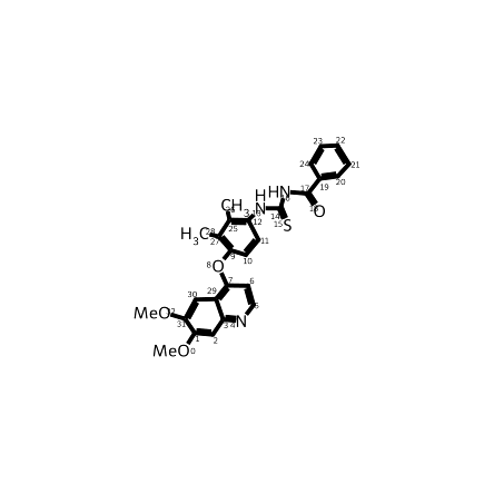 COc1cc2nccc(Oc3ccc(NC(=S)NC(=O)c4ccccc4)c(C)c3C)c2cc1OC